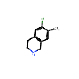 Cc1cc2c(cc1Cl)CCNC2